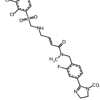 CN(Cc1ccc(C2=NCCN2C(=O)O)cc1F)C(=O)C=CCNCS(=O)(=O)c1cccc(Cl)c1Cl